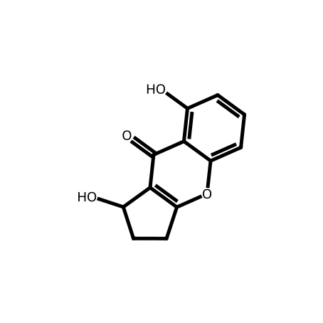 O=c1c2c(oc3cccc(O)c13)CCC2O